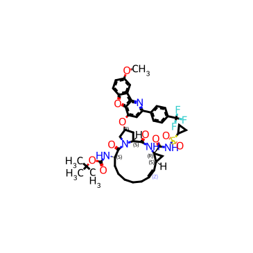 COc1ccc2oc3c(O[C@@H]4C[C@H]5C(=O)N[C@]6(C(=O)NS(=O)(=O)C7CC7)C[C@H]6/C=C\CCCCC[C@H](NC(=O)OC(C)(C)C)C(=O)N5C4)cc(-c4ccc(C(F)(F)F)cc4)nc3c2c1